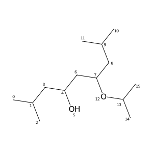 CC(C)CC(O)CC(CC(C)C)OC(C)C